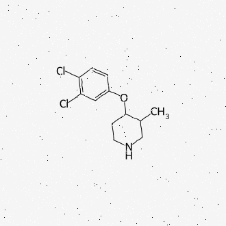 CC1CNCCC1Oc1ccc(Cl)c(Cl)c1